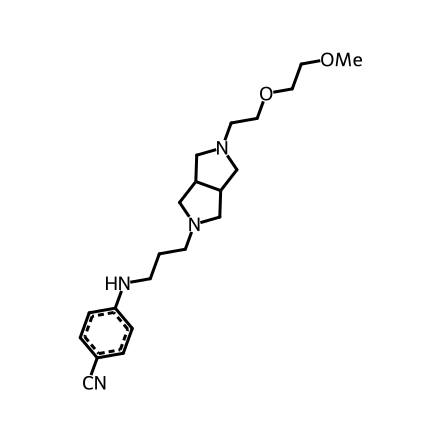 COCCOCCN1CC2CN(CCCNc3ccc(C#N)cc3)CC2C1